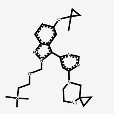 CC1(Oc2ccc3nn(COCC[Si](C)(C)C)c(-c4cc(N5CCNC6(CC6)C5)ncn4)c3c2)CC1